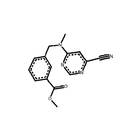 COC(=O)c1cccc(CN(C)c2cc(C#N)ncn2)c1